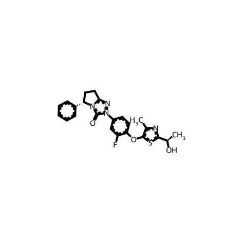 Cc1nc([C@@H](C)O)sc1Oc1ccc(-n2nc3n(c2=O)[C@H](c2ccccc2)CC3)cc1F